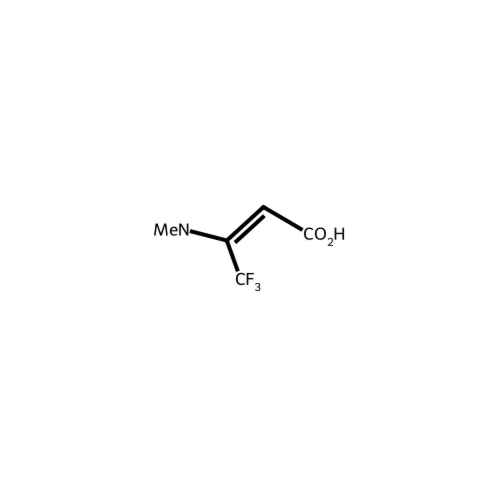 CNC(=CC(=O)O)C(F)(F)F